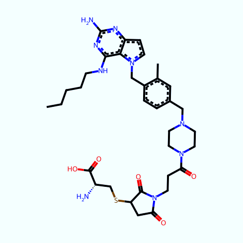 CCCCCNc1nc(N)nc2ccn(Cc3ccc(CN4CCN(C(=O)CCN5C(=O)CC(SC[C@H](N)C(=O)O)C5=O)CC4)cc3C)c12